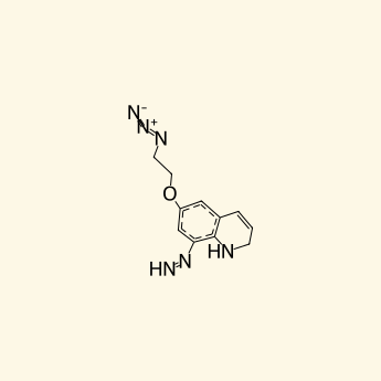 [N-]=[N+]=NCCOc1cc2c(c(N=N)c1)NCC=C2